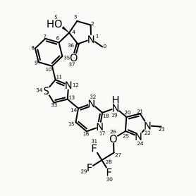 CN1CC[C@@](O)(c2cccc(-c3nc(-c4ccnc(Nc5cn(C)nc5OCC(F)(F)F)n4)cs3)c2)C1=O